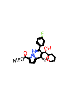 COC(=O)c1ccc2c(C(C)C)c(C(O)C3CCCCO3)c(-c3ccc(F)cc3)nn12